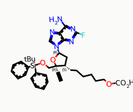 C#C[C@]1(CO[Si](c2ccccc2)(c2ccccc2)C(C)(C)C)O[C@@H](n2cnc3c(N)nc(F)nc32)C[C@@H]1CCCCCCOC(=O)O